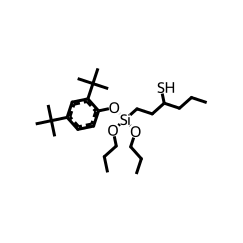 CCCO[Si](CCC(S)CCC)(OCCC)Oc1ccc(C(C)(C)C)cc1C(C)(C)C